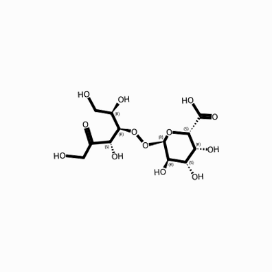 O=C(CO)[C@@H](O)[C@H](OO[C@H]1O[C@H](C(=O)O)[C@H](O)[C@H](O)[C@H]1O)[C@H](O)CO